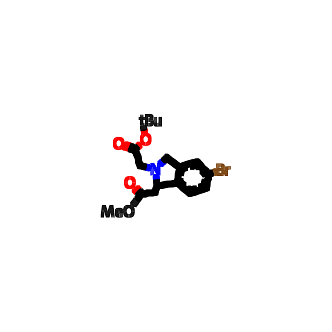 COC(=O)CC1c2ccc(Br)cc2CN1CC(=O)OC(C)(C)C